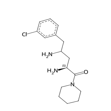 NC(Cc1cccc(Cl)c1)C[C@H](N)C(=O)N1CCCCC1